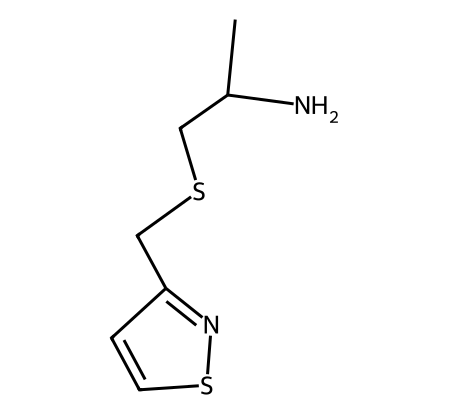 CC(N)CSCc1ccsn1